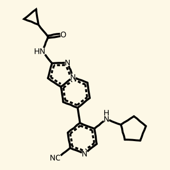 N#Cc1cc(-c2ccn3nc(NC(=O)C4CC4)cc3c2)c(NC2CCCC2)cn1